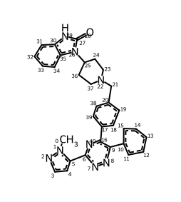 Cn1nccc1-c1nnc(-c2ccccc2)c(-c2ccc(CN3CCC(n4c(=O)[nH]c5ccccc54)CC3)cc2)n1